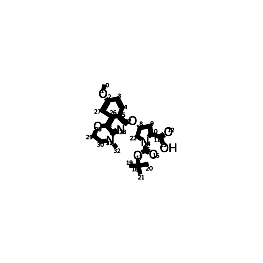 COc1ccc2c(O[C@@H]3CC(C(=O)O)N(C(=O)OC(C)(C)C)C3)nc3c(c2c1)OCCN3C